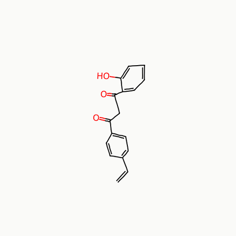 C=Cc1ccc(C(=O)CC(=O)c2ccccc2O)cc1